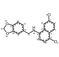 Clc1ccc2c(Cl)nnc(NCc3ccc4c(c3)OCO4)c2c1